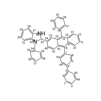 c1ccc(-c2ccc(-c3c4ccccc4c(-c4ccccc4)c4cc(C5Nc6ccccc6N5c5ccccc5)ccc34)cc2)cc1